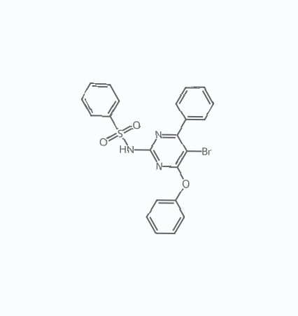 O=S(=O)(Nc1nc(Oc2ccccc2)c(Br)c(-c2ccccc2)n1)c1ccccc1